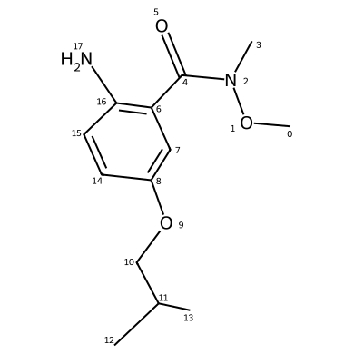 CON(C)C(=O)c1cc(OCC(C)C)ccc1N